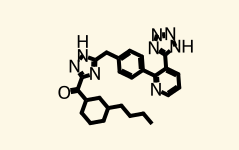 CCCCC1CCCC(C(=O)c2n[nH]c(Cc3ccc(-c4ncccc4-c4nnn[nH]4)cc3)n2)C1